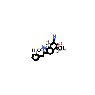 Cn1nc2c(c1Cc1ccccc1)CCC1C(C)(C)C(=O)C(C#N)=C[C@]21C